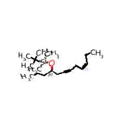 CC/C=C\CC#CC[C@@H](CCC)O[Si](C)(C)C(C)(C)C